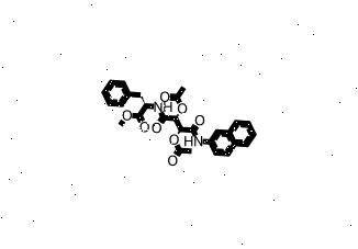 COC(=O)[C@H](Cc1ccccc1)NC(=O)[C@H](OC(C)=O)[C@@H](OC(C)=O)C(=O)Nc1ccc2ccccc2c1